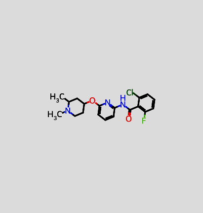 CC1CC(Oc2cccc(NC(=O)c3c(F)cccc3Cl)n2)CCN1C